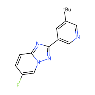 CC(C)(C)c1cncc(-c2nc3ccc(F)cn3n2)c1